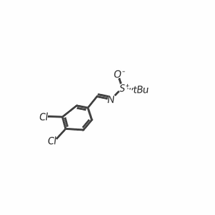 CC(C)(C)[S@@+]([O-])/N=C/c1ccc(Cl)c(Cl)c1